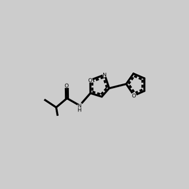 CC(C)C(=O)Nc1cc(-c2ccco2)no1